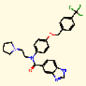 O=C(c1ccc2[nH]cnc2c1)N(CCN1CCCC1)c1ccc(OCc2ccc(C(F)(F)F)cc2)cc1